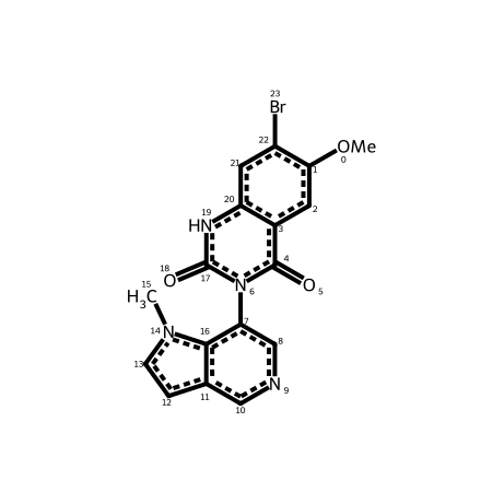 COc1cc2c(=O)n(-c3cncc4ccn(C)c34)c(=O)[nH]c2cc1Br